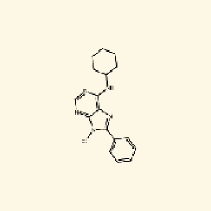 CCn1c(-c2ccccc2)nc2c(NC3CCCCC3)ncnc21